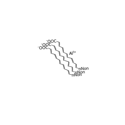 CCCCCCCCCC=CC=CC=CC=CC=CC(=O)[O-].CCCCCCCCCC=CC=CC=CC=CC=CC(=O)[O-].CCCCCCCCCC=CC=CC=CC=CC=CC(=O)[O-].[Al+3]